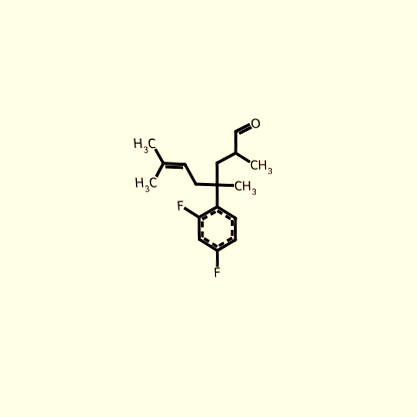 CC(C)=CCC(C)(CC(C)C=O)c1ccc(F)cc1F